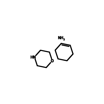 C1=CCCCC1.C1COCCN1.N